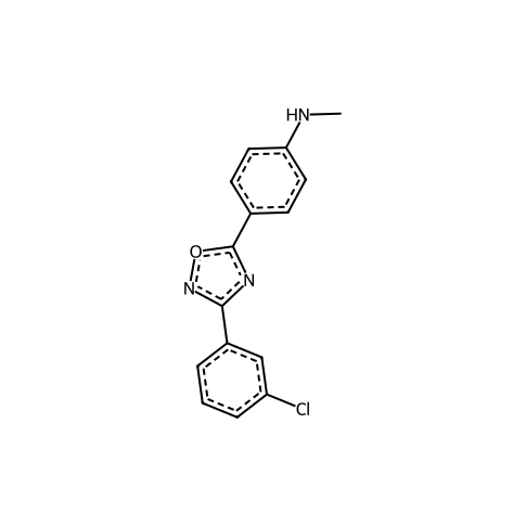 CNc1ccc(-c2nc(-c3cccc(Cl)c3)no2)cc1